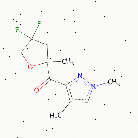 Cc1cn(C)nc1C(=O)C1(C)CC(F)(F)CO1